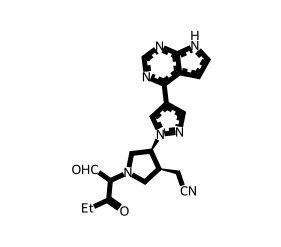 CCC(=O)C(C=O)N1C[C@H](CC#N)[C@H](n2cc(-c3ncnc4[nH]ccc34)cn2)C1